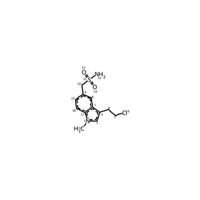 Cn1cc(CCCl)c2cc(CS(N)(=O)=O)ccc21